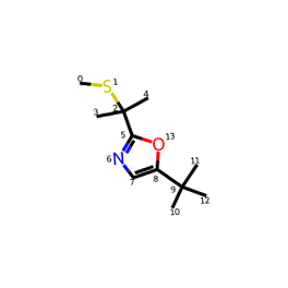 CSC(C)(C)c1ncc(C(C)(C)C)o1